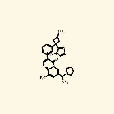 CC1CC(c2cccc(-c3cnc4c(C(F)(F)F)cc(C(N5CCCC5)C(F)(F)F)cn4c3=O)c2)(c2nncn2C)C1